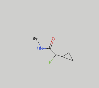 CC(C)NC(=O)C(F)C1CC1